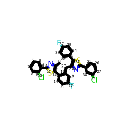 Cc1nc(-c2ccccc2Cl)sc1-c1ccc(F)cc1Cc1nc(-c2cccc(Cl)c2)sc1-c1ccc(F)cc1